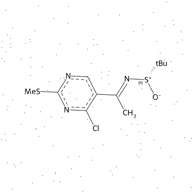 CSc1ncc(C(C)=N[S@@+]([O-])C(C)(C)C)c(Cl)n1